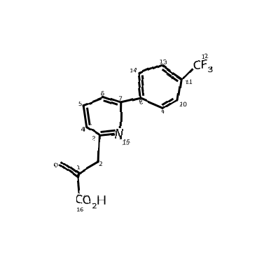 C=C(Cc1cccc(-c2ccc(C(F)(F)F)cc2)n1)C(=O)O